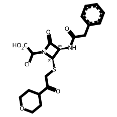 O=C(Cc1ccccc1)N[C@@H]1C(=O)N(C(Cl)C(=O)O)[C@@H]1SCC(=O)C1CCOCC1